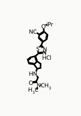 CC(C)Oc1ccc(-c2nnc(-c3cccc4c3CCC4NCC(=O)N(C)C)s2)cc1C#N.Cl